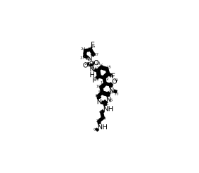 CNCCCNc1ncc2cc(-c3c(F)ccc(NS(=O)(=O)N4CC[C@@H](F)C4)c3F)c(=O)n(C)c2n1